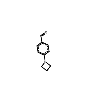 O=Cc1ccc(N2CCC2)cc1